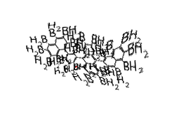 Bc1c(B)c(-c2c(B)c(B)c(B)c3c(B)c(B)c(B)c(B)c23)c(B)c(-c2c3c(B)c(B)c(B)c(B)c3c(-c3c(B)c(B)c4c(B)c(B)c(B)c(B)c4c3B)c3c(B)c(B)c(B)c(B)c23)c1B